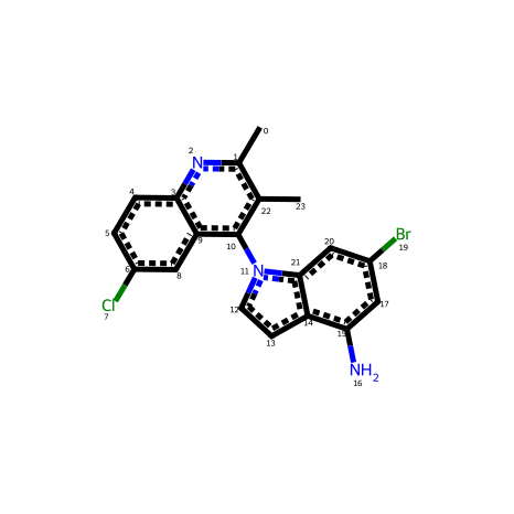 Cc1nc2ccc(Cl)cc2c(-n2ccc3c(N)cc(Br)cc32)c1C